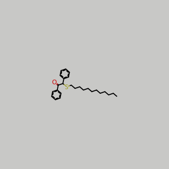 CCCCCCCCCCCCSC(C(=O)c1ccccc1)c1ccccc1